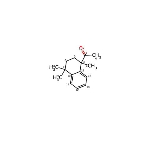 CC(=O)C1(C)CCC(C)(C)c2ccccc21